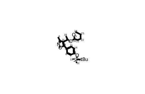 Cc1noc(-c2ccc(O[Si](C)(C)C(C)(C)C)cc2)c1C(C)OC1CCCCO1